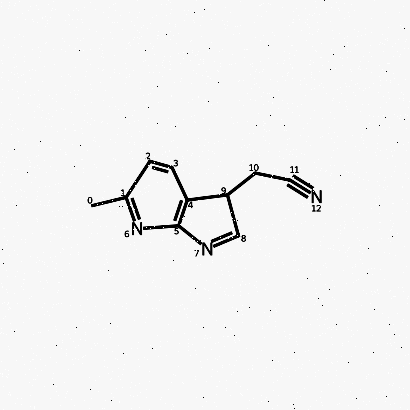 Cc1ccc2c(n1)N=CC2CC#N